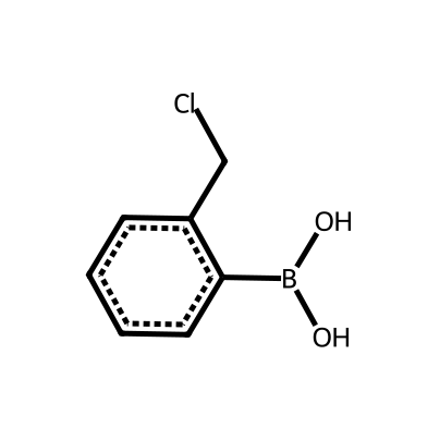 OB(O)c1ccccc1CCl